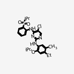 CCc1cc(OC(C)C)c(Nc2ncc(Cl)c(Nc3ccccc3S(=O)(=O)C(C)C)n2)cc1C